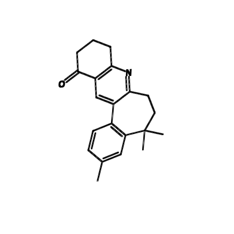 Cc1ccc2c(c1)C(C)(C)CCc1nc3c(cc1-2)C(=O)CCC3